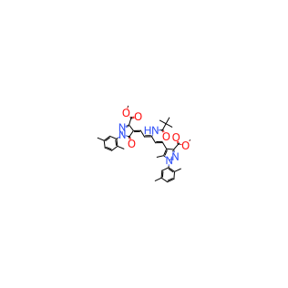 COC(=O)C1=NN(c2cc(C)ccc2C)C(=O)\C1=C/C=C(/C=C/c1c(C(=O)OC)nn(-c2cc(C)ccc2C)c1C)NC(=O)C(C)(C)C